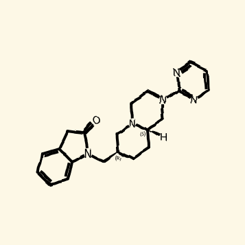 O=C1Cc2ccccc2N1C[C@@H]1CC[C@H]2CN(c3ncccn3)CCN2C1